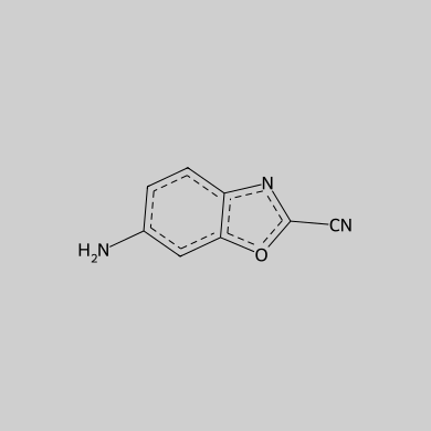 N#Cc1nc2ccc(N)cc2o1